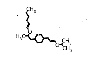 CCCC/C=C/OC(C)CC1CCC(C/C=C/OC(C)C)CC1